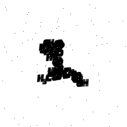 CCC(=O)NC(Cc1ccc(NC(=O)C(NC(=O)c2ccnn2C)C2CCCCC2)cc1)C(=O)N1CCN(Cc2ccc(O)cc2)CC1